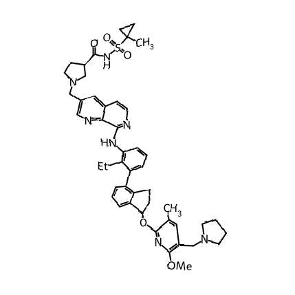 CCc1c(Nc2nccc3cc(CN4CC[C@@H](C(=O)NS(=O)(=O)C5(C)CC5)C4)cnc23)cccc1-c1cccc2c1CC[C@H]2Oc1nc(OC)c(CN2CCCC2)cc1C